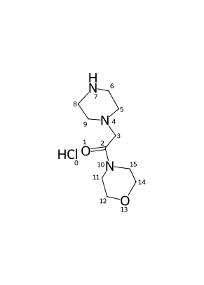 Cl.O=C(CN1CCNCC1)N1CCOCC1